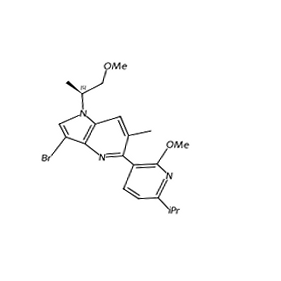 COC[C@H](C)n1cc(Br)c2nc(-c3ccc(C(C)C)nc3OC)c(C)cc21